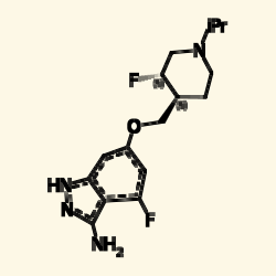 CC(C)N1CC[C@@H](COc2cc(F)c3c(N)n[nH]c3c2)[C@H](F)C1